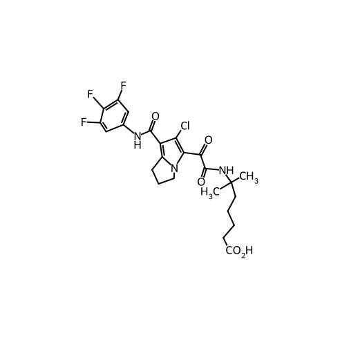 CC(C)(CCCCC(=O)O)NC(=O)C(=O)c1c(Cl)c(C(=O)Nc2cc(F)c(F)c(F)c2)c2n1CCC2